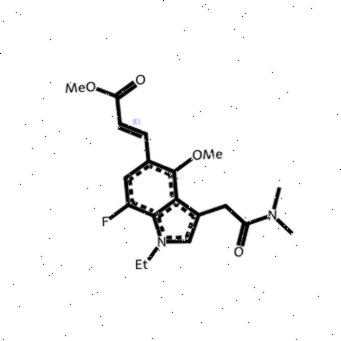 CCn1cc(CC(=O)N(C)C)c2c(OC)c(/C=C/C(=O)OC)cc(F)c21